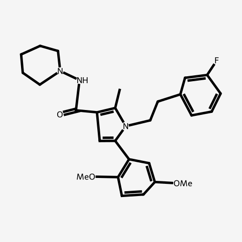 COc1ccc(OC)c(-c2cc(C(=O)NN3CCCCC3)c(C)n2CCc2cccc(F)c2)c1